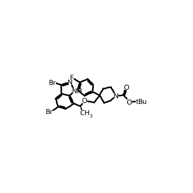 C[C@H](OCC1(c2ccc(F)cc2)CCN(C(=O)OC(C)(C)C)CC1)c1cc(Br)cc2c(Br)n[nH]c12